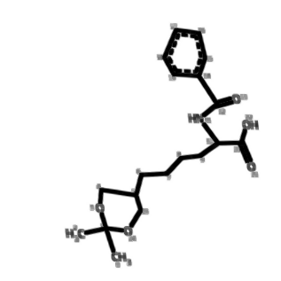 CC1(C)OCC(CCCCC(NC(=O)c2ccccc2)C(=O)O)CO1